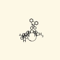 CN1CCCC/C=C\C2C[C@@]2(C(=O)NS(=O)(=O)C2CC2)NC(=O)[C@@H]2C[C@@H](OC(=O)N3Cc4ccccc4-c4ccccc43)C[C@H]2C1=O